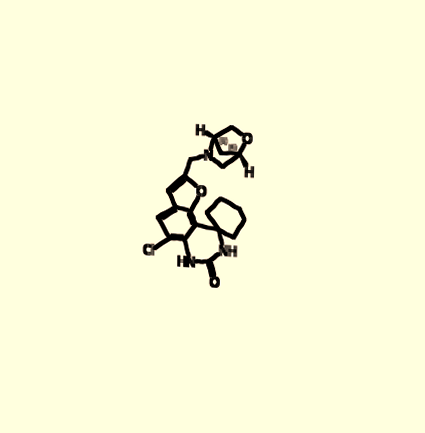 O=C1Nc2c(Cl)cc3cc(CN4C[C@@H]5C[C@H]4CO5)oc3c2C2(CCCCC2)N1